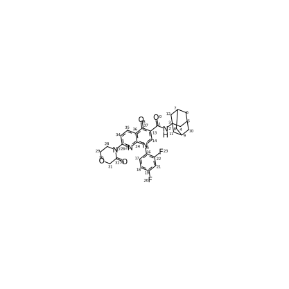 O=C(NC12CC3CC(CC(C3)C1)C2)c1cn(-c2ccc(F)cc2F)c2nc(N3CCOCC3=O)ccc2c1=O